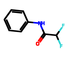 O=C(Nc1ccccc1)C(F)F